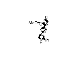 COCOc1cc(Cl)cnc1-c1cnc(N2CCNC(C(C)C)C2)nn1